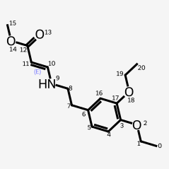 CCOc1ccc(CCN/C=C/C(=O)OC)cc1OCC